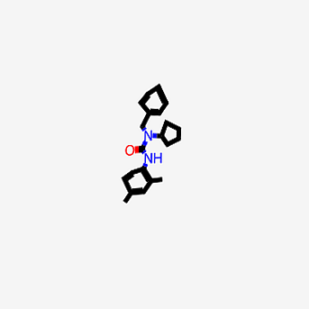 Cc1ccc(NC(=O)N(Cc2ccccc2)C2CCCC2)c(C)c1